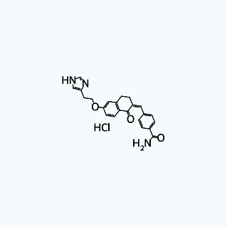 Cl.NC(=O)c1ccc(C=C2CCc3cc(OCCc4c[nH]cn4)ccc3C2=O)cc1